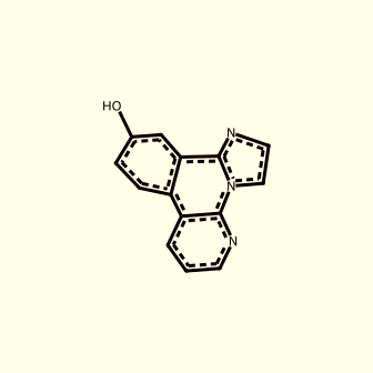 Oc1ccc2c3cccnc3n3ccnc3c2c1